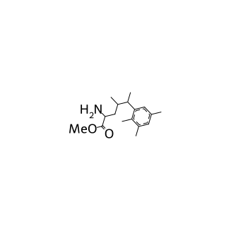 COC(=O)C(N)CC(C)C(C)c1cc(C)cc(C)c1C